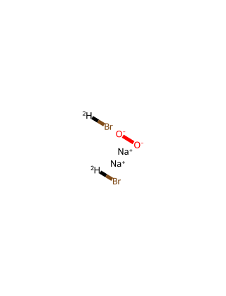 [2H]Br.[2H]Br.[Na+].[Na+].[O-][O-]